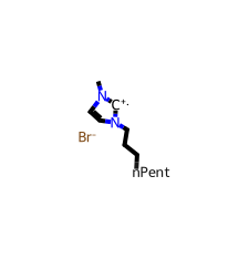 CCCCCCCCN1[C+]N(C)C=C1.[Br-]